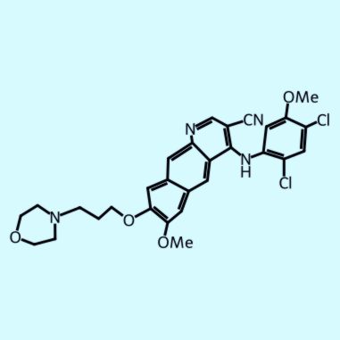 COc1cc(Nc2c(C#N)cnc3cc4cc(OCCCN5CCOCC5)c(OC)cc4cc23)c(Cl)cc1Cl